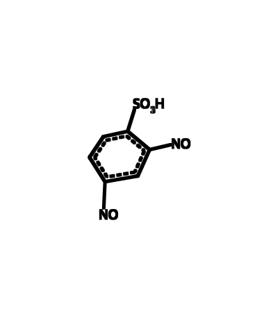 O=Nc1ccc(S(=O)(=O)O)c(N=O)c1